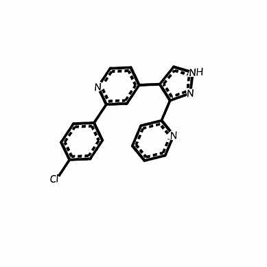 Clc1ccc(-c2cc(-c3c[nH]nc3-c3ccccn3)ccn2)cc1